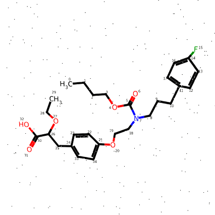 CCCCOC(=O)N(CCCc1ccc(F)cc1)CCOc1ccc(CC(OCC)C(=O)O)cc1